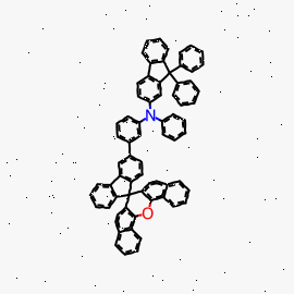 c1ccc(N(c2cccc(-c3ccc4c(c3)-c3ccccc3C43c4ccc5ccccc5c4Oc4c3ccc3ccccc43)c2)c2ccc3c(c2)C(c2ccccc2)(c2ccccc2)c2ccccc2-3)cc1